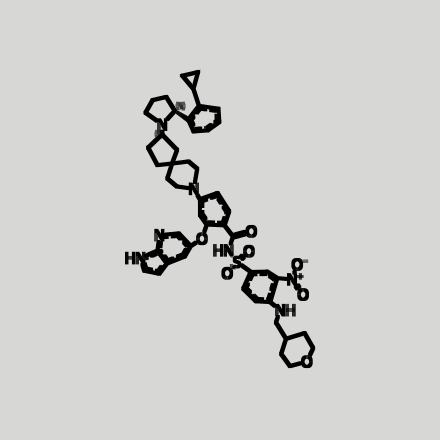 O=C(NS(=O)(=O)c1ccc(NCC2CCOCC2)c([N+](=O)[O-])c1)c1ccc(N2CCC3(CC[C@@H](N4CCC[C@H]4c4ccccc4C4CC4)C3)CC2)cc1Oc1cnc2[nH]ccc2c1